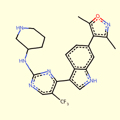 Cc1noc(C)c1-c1ccc2c(-c3nc(NC4CCCNC4)ncc3C(F)(F)F)c[nH]c2c1